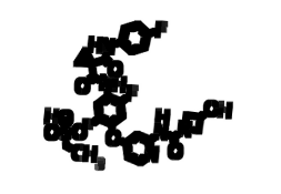 CCS(=O)(=O)O.O=C(Nc1cc(Oc2cc(F)c(NC(=O)C3(C(=O)Nc4ccc(F)cc4)CC3)cc2F)ccn1)N1CC(O)C1